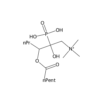 CCCCCC(=O)OC(CCC)C(O)(C[N+](C)(C)C)P(=O)(O)O